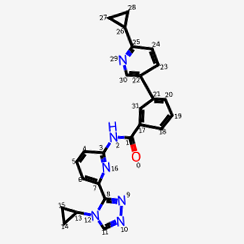 O=C(Nc1cccc(-c2nncn2C2CC2)n1)c1cccc(-c2ccc(C3CC3)nc2)c1